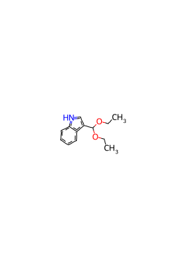 CCOC(OCC)c1c[nH]c2ccccc12